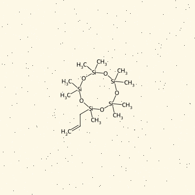 C=CC[Si]1(C)O[Si](C)(C)O[Si](C)(C)O[Si](C)(C)O[Si](C)(C)O1